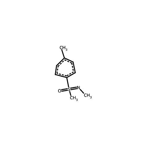 CN=S(C)(=O)c1ccc(C)cc1